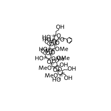 COCC1O[C@H](O[C@@H]2C(OC)[C@@H](O[C@@H]3C(OC)[C@@H](OC4[C@@H](OCc5ccccc5)OC(CCO)[C@@H](CO)[C@@H]4CO)OC(COC)[C@H]3CO)OC(COC)[C@H]2CO)C(OC)[C@@H](O[C@H]2OC(CCO)[C@@H](CO)[C@H](CO)C2OC)[C@@H]1CO